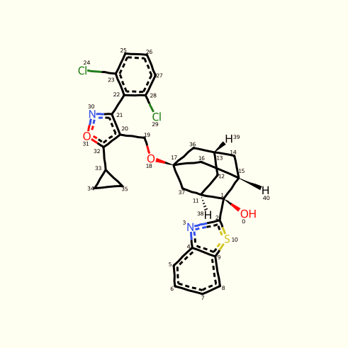 O[C@@]1(c2nc3ccccc3s2)[C@@H]2C[C@H]3C[C@H]1C[C@@](OCc1c(-c4c(Cl)cccc4Cl)noc1C1CC1)(C3)C2